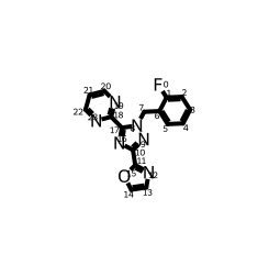 Fc1ccccc1Cn1nc(-c2ncco2)nc1-c1ncccn1